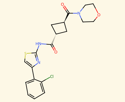 O=C(Nc1nc(-c2ccccc2Cl)cs1)[C@H]1C[C@H](C(=O)N2CCOCC2)C1